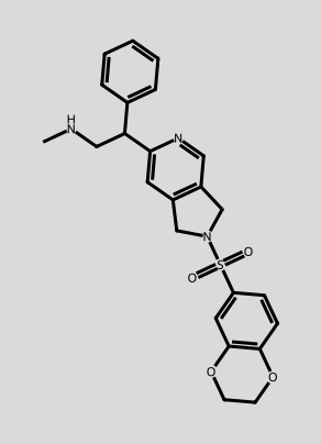 CNCC(c1ccccc1)c1cc2c(cn1)CN(S(=O)(=O)c1ccc3c(c1)OCCO3)C2